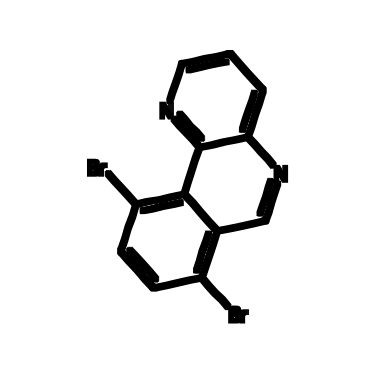 Brc1ccc(Br)c2c1cnc1cccnc12